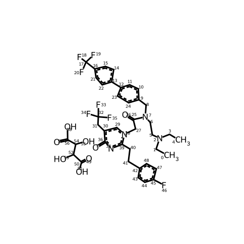 CCN(CC)CCN(Cc1ccc(-c2ccc(C(F)(F)F)cc2)cc1)C(=O)Cn1cc(CC(F)(F)F)c(=O)nc1CCc1ccc(F)cc1.O=C(O)C(O)C(O)C(=O)O